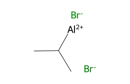 C[CH](C)[Al+2].[Br-].[Br-]